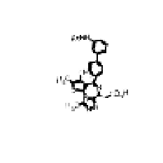 CC(=O)Nc1cccc(-c2ccc(C3=N[C@@H](CC(=O)O)c4nnc(C)n4-c4sc(C)c(C)c43)cc2)c1